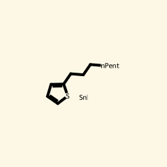 CCCCCCCCc1cccs1.[Sn]